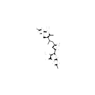 CCc1c(-c2cc(CC(C)c3c(C)[nH]c4nc(Cl)nn4c3=O)n(C)n2)[nH]c2nc(C)nn2c1=O